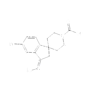 O=C(O)N1CCC2(CC1)C/C(=N/O)c1cc(Br)ccc12